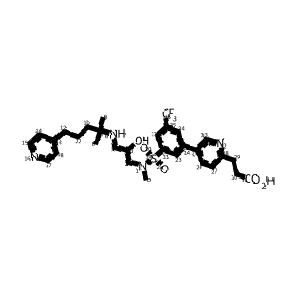 CN(CC(O)CNC(C)(C)CCCc1ccncc1)S(=O)(=O)c1cc(-c2ccc(CCC(=O)O)nc2)cc(C(F)(F)F)c1